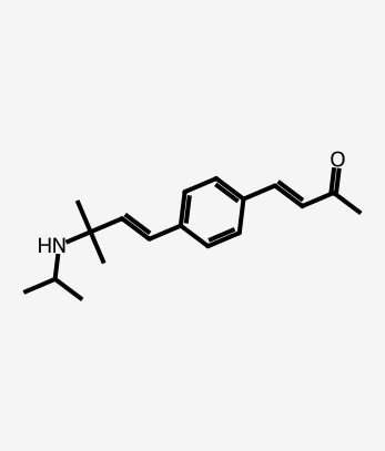 CC(=O)/C=C/c1ccc(/C=C/C(C)(C)NC(C)C)cc1